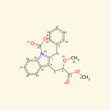 COC(=O)C(Cc1c(Cc2ccccc2)n(C(=O)O)c2ccccc12)OC